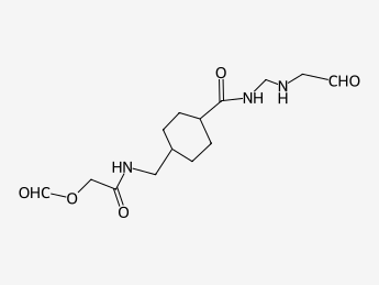 O=CCNCNC(=O)C1CCC(CNC(=O)COC=O)CC1